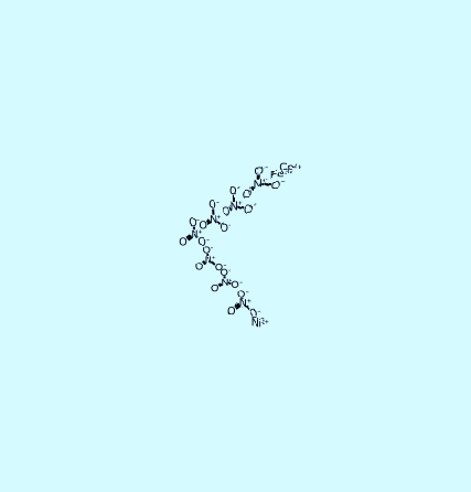 O=[N+]([O-])[O-].O=[N+]([O-])[O-].O=[N+]([O-])[O-].O=[N+]([O-])[O-].O=[N+]([O-])[O-].O=[N+]([O-])[O-].O=[N+]([O-])[O-].[Co+2].[Fe+3].[Ni+2]